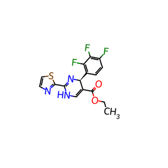 CCOC(=O)C1=CNC(c2nccs2)=N[C@H]1c1ccc(F)c(F)c1F